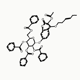 CCC=CCCOc1c(OC(C)=O)c(=O)oc2cc(O[C@H]3O[C@H](COC(=O)c4ccccc4)[C@@H](OC(=O)c4ccccc4)[C@H](OC(=O)c4ccccc4)[C@@H]3OC(=O)c3ccccc3)ccc12